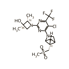 C[C@@H]1N(c2nc(N3CC4[C@H]5C3[C@]45CS(C)(=O)=O)c(Cl)c(C(F)(F)F)n2)C[C@@]1(C)O